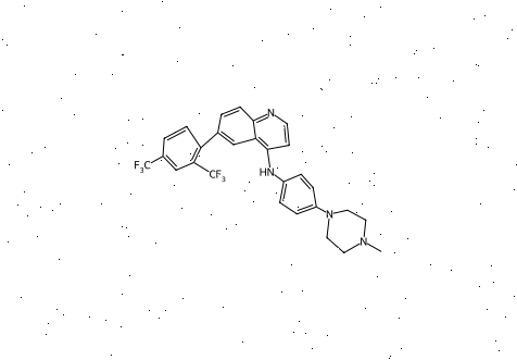 CN1CCN(c2ccc(Nc3ccnc4ccc(-c5ccc(C(F)(F)F)cc5C(F)(F)F)cc34)cc2)CC1